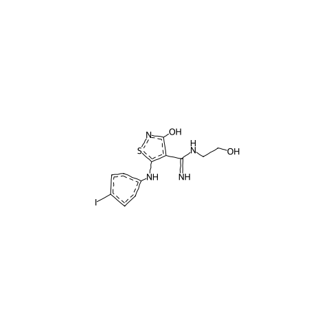 N=C(NCCO)c1c(O)nsc1Nc1ccc(I)cc1